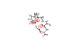 C=C(C)CCC(OC(C)=O)C(C)CCCC1(C)OCC2(O)CC[C@@H]1O2